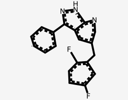 Fc1ccc(F)c(Cc2cnc3[nH]nc(-c4cc[c]cc4)c3c2)c1